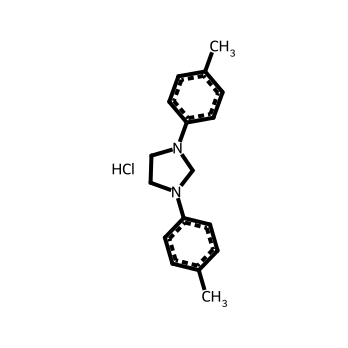 Cc1ccc(N2CCN(c3ccc(C)cc3)C2)cc1.Cl